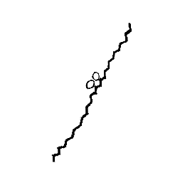 CCCCCCCCCCCCCCCC(=O)CC(=O)CCCCCCCCCCCC